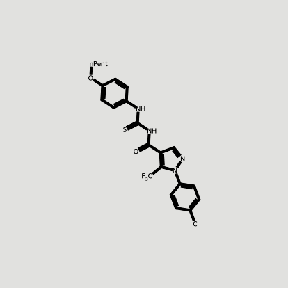 CCCCCOc1ccc(NC(=S)NC(=O)c2cnn(-c3ccc(Cl)cc3)c2C(F)(F)F)cc1